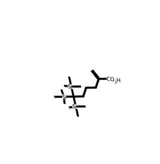 C=C(CCCC([Si](C)(C)C)([Si](C)(C)C)[Si](C)(C)C)C(=O)O